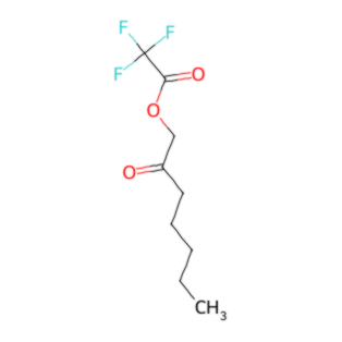 CCCCCC(=O)COC(=O)C(F)(F)F